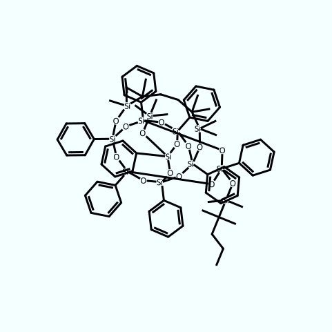 CCCC(C)(C)[Si](C)(C)O[Si]1(c2ccccc2)O[Si]2(c3ccccc3)O[Si]3(c4ccccc4)O[Si](O[Si](C)(C)C)(c4ccccc4)O[Si]4(c5ccccc5)O[Si](c5ccccc5)(O1)O[Si](c1ccccc1)(O2)O[Si]1(C)CC1(C)CCC(C)(C)[Si](C)(C)O[Si](c1ccccc1)(O3)O4